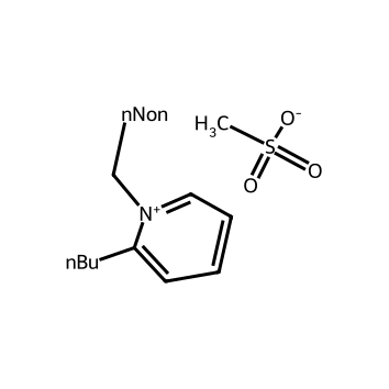 CCCCCCCCCC[n+]1ccccc1CCCC.CS(=O)(=O)[O-]